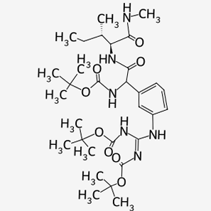 CC[C@H](C)[C@H](NC(=O)C(NC(=O)OC(C)(C)C)c1cccc(N/C(=N/C(=O)OC(C)(C)C)NC(=O)OC(C)(C)C)c1)C(=O)NC